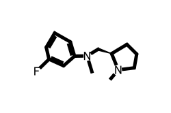 CN(C[C@H]1CCCN1C)c1cccc(F)c1